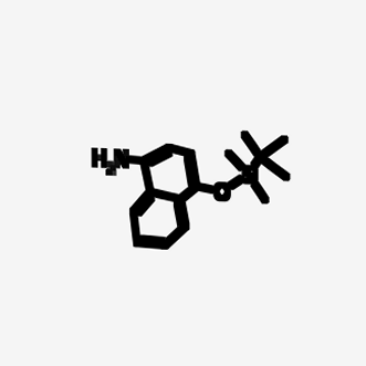 CC(C)(C)[Si](C)(C)Oc1ccc(N)c2ccccc12